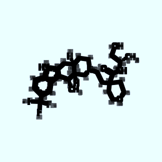 C[C@@H](CO)NC(=O)C1(CCN2CC[C@@H]3Cc4[nH]c5ccc(C(F)(F)F)cc5c4[C@H](C)[C@H]3C2)CCOCC1